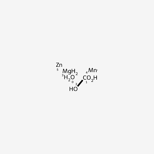 O.O=C(O)O.[MgH2].[Mn].[Zn]